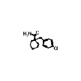 NC(=O)C1([CH]c2ccc(Cl)cc2)CCCCC1